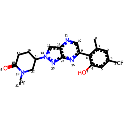 Cc1cc(C(F)(F)F)cc(O)c1-c1cnc2cn(C3CCC(=O)N(C(C)C)C3)nc2n1